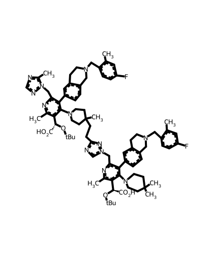 Cc1cc(F)ccc1CN1CCc2cc(-c3c(Cn4cnc(CCC5(C)CCN(c6c(-c7ccc8c(c7)CCN(Cc7ccc(F)cc7C)C8)c(Cn7ncnc7C)nc(C)c6[C@H](OC(C)(C)C)C(=O)O)CC5)n4)nc(C)c([C@H](OC(C)(C)C)C(=O)O)c3N3CCC(C)(C)CC3)ccc2C1